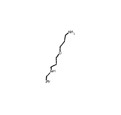 CC(C)CNCCCOCCCN